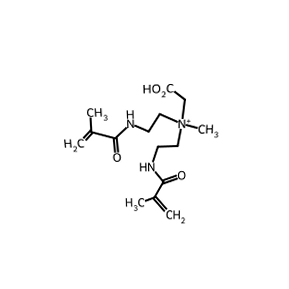 C=C(C)C(=O)NCC[N+](C)(CCNC(=O)C(=C)C)CC(=O)O